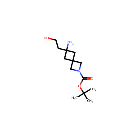 CC(C)(C)OC(=O)N1CC2(C1)CC(N)(CCO)C2